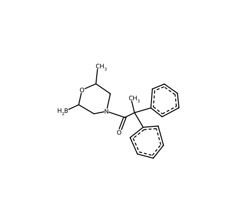 BC1CN(C(=O)C(C)(c2ccccc2)c2ccccc2)CC(C)O1